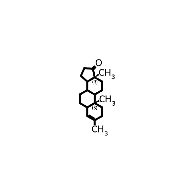 CC1=CC2CCC3C(CC[C@@]4(C)C(=O)CCC34)[C@]2(C)CC1